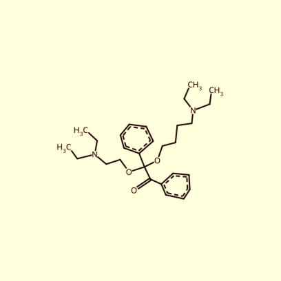 CCN(CC)CCCCOC(OCCN(CC)CC)(C(=O)c1ccccc1)c1ccccc1